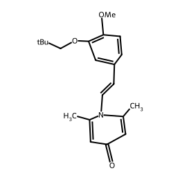 COc1ccc(C=Cn2c(C)cc(=O)cc2C)cc1OCC(C)(C)C